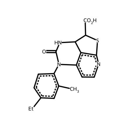 CCc1ccc(N2C(=O)NC3c4c2ccnc4SC3C(=O)O)c(C)c1